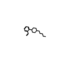 C=Cc1ccccc1C1CCC(CCCCC)CC1